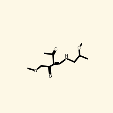 COCC(=O)/C(=C/NCC(C)OC)C(C)=O